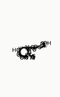 C/C(=C\c1csc(C)n1)[C@@H]1C[C@H]2[C@@H](CCC[C@H](C)[C@H](O)[C@@H](C)C(=O)C(C)(C)[C@@H](O)C(C)C(=O)O1)N2CCOC(=O)OCCSSCC(C)C(=O)O